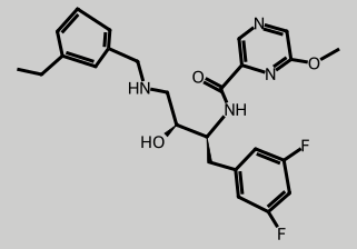 CCc1cccc(CNC[C@H](O)[C@H](Cc2cc(F)cc(F)c2)NC(=O)c2cncc(OC)n2)c1